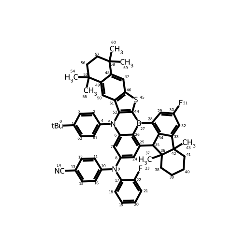 CC(C)(C)c1ccc(N2c3cc(N(c4ccc(C#N)cc4)c4ccccc4F)cc4c3B(c3cc(F)cc5c3C4C3(C)CCCCC53C)c3sc4cc5c(cc4c32)C(C)(C)CCC5(C)C)cc1